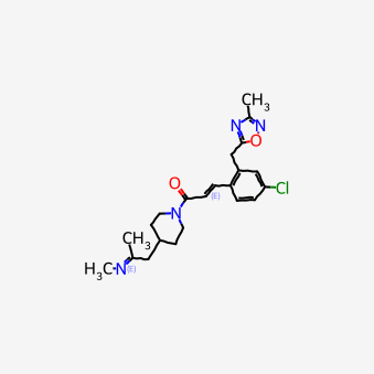 C/N=C(\C)CC1CCN(C(=O)/C=C/c2ccc(Cl)cc2Cc2nc(C)no2)CC1